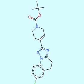 CC(C)(C)OC(=O)N1CC=C(c2nc3n(n2)-c2ccc(F)cc2CC3)CC1